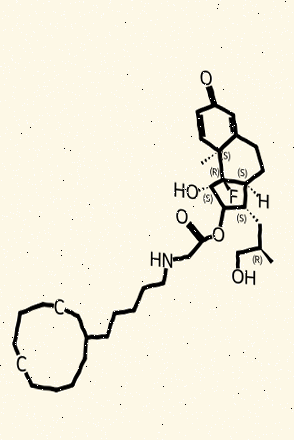 C[C@@H](CO)C[C@@H]1C(OC(=O)CNCCCCCC2CCCCCCCCCC2)[C@H](O)[C@@]2(F)[C@H]1CCC1=CC(=O)C=C[C@@]12C